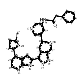 O=C(Cc1ccccc1)Nc1cncc(-c2cc3c(-c4cc5c(-c6ccc(F)s6)ccnc5[nH]4)n[nH]c3cn2)c1